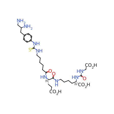 NCC(N)Cc1ccc(NC(=S)NCCCCCC(=O)N[C@@H](CCC(=O)O)C(=O)NCCCC[C@H](NC(=O)NCC(=O)O)C(=O)O)cc1